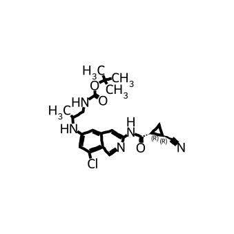 CC(CNC(=O)OC(C)(C)C)Nc1cc(Cl)c2cnc(NC(=O)[C@@H]3C[C@H]3C#N)cc2c1